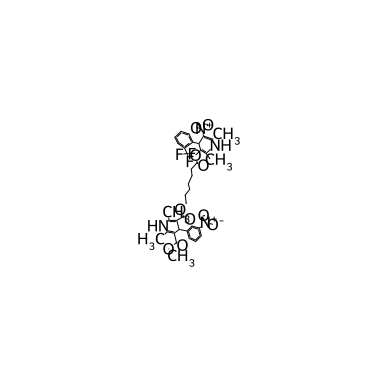 COC(=O)C1=C(C)NC(C)=C(C(=O)OCCCCCCC(=O)OC2=C(C)NC(C)=C([N+](=O)[O-])C2c2ccccc2C(F)(F)F)C1c1cccc([N+](=O)[O-])c1